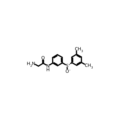 Cc1cc(C)cc([S+]([O-])c2cccc(NC(=O)CN)c2)c1